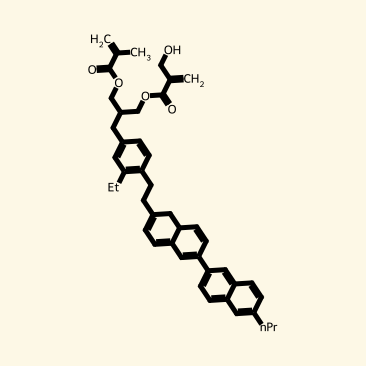 C=C(C)C(=O)OCC(COC(=O)C(=C)CO)Cc1ccc(CCC2=CC=C3C=C(c4ccc5cc(CCC)ccc5c4)C=CC3C2)c(CC)c1